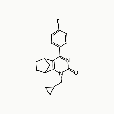 O=c1nc(-c2ccc(F)cc2)c2c(n1CC1CC1)C1CCC2C1